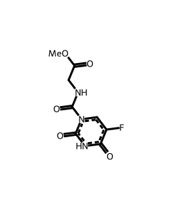 COC(=O)CNC(=O)n1cc(F)c(=O)[nH]c1=O